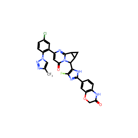 O=C1COc2cc(-c3nc(F)c(C4C5CC5c5nc(-c6cc(Cl)ccc6-n6cc(C(F)(F)F)nn6)cc(=O)n54)[nH]3)ccc2N1